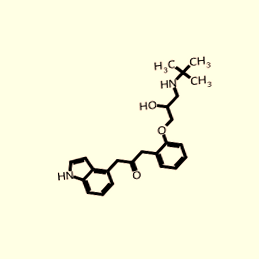 CC(C)(C)NCC(O)COc1ccccc1CC(=O)Cc1cccc2[nH]ccc12